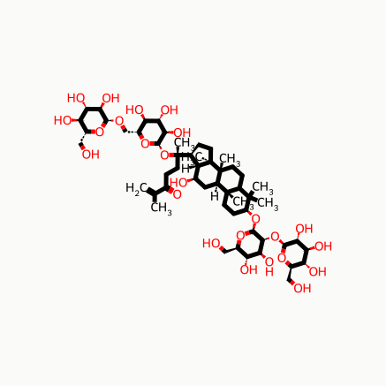 C=C(C)C(=O)CC[C@](C)(O[C@@H]1O[C@H](CO[C@@H]2O[C@H](CO)[C@@H](O)[C@H](O)[C@H]2O)[C@@H](O)[C@H](O)[C@H]1O)[C@H]1CC[C@]2(C)[C@@H]1[C@H](O)C[C@@H]1[C@@]3(C)CC[C@H](O[C@@H]4O[C@H](CO)[C@@H](O)[C@H](O)[C@H]4O[C@@H]4O[C@H](CO)[C@@H](O)[C@H](O)[C@H]4O)C(C)(C)C3CC[C@]12C